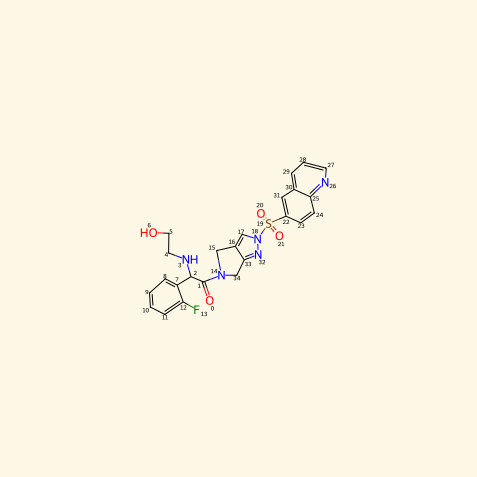 O=C(C(NCCO)c1ccccc1F)N1Cc2cn(S(=O)(=O)c3ccc4ncccc4c3)nc2C1